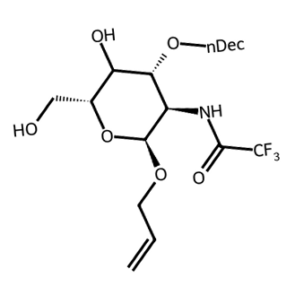 C=CCO[C@H]1O[C@H](CO)C(O)[C@H](OCCCCCCCCCC)[C@H]1NC(=O)C(F)(F)F